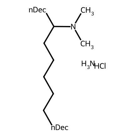 CCCCCCCCCCCCCCCC(CCCCCCCCCC)N(C)C.Cl.N